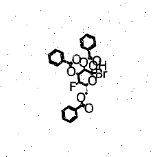 O=C(OC[C@H]1O[C@@](O)(Br)[C@H](OC(=O)c2ccccc2)[C@@H](OC(=O)c2ccccc2)[C@@H]1F)c1ccccc1